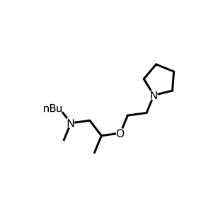 CCCCN(C)CC(C)OCCN1CCCC1